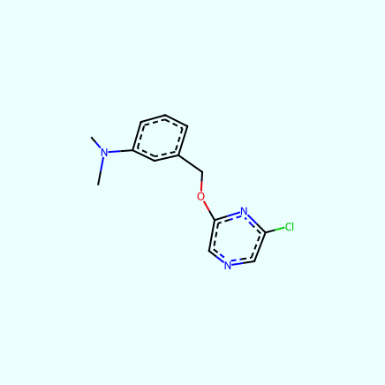 CN(C)c1cccc(COc2cncc(Cl)n2)c1